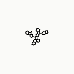 C=C1c2ccccc2-c2ccc(N(c3ccc4c(c3)c3ccccc3n4-c3ccc4ccccc4c3)c3cc4ccccc4c4ccccc34)cc21